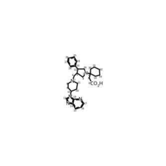 O=C(O)CC1(N2CC(CN3CCC(n4cnc5cccnc54)CC3)C(c3ccccc3)C2)CCCCC1